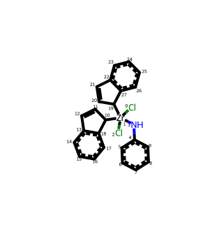 [Cl][Zr]([Cl])([NH]c1ccccc1)([CH]1C=Cc2ccccc21)[CH]1C=Cc2ccccc21